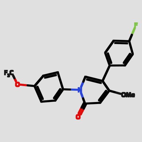 COc1cc(=O)n(-c2ccc(OC(F)(F)F)cc2)cc1-c1ccc(F)cc1